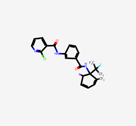 O=C(NC1(C(F)(C(F)(F)F)C(F)(F)F)C(C(F)(F)F)=CC=CC1I)c1cccc(NC(=O)c2cccnc2Cl)c1